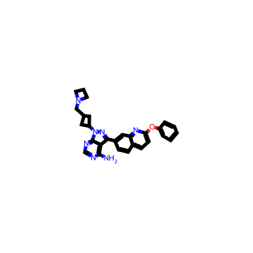 Nc1ncnc2c1c(-c1ccc3ccc(Oc4ccccc4)nc3c1)nn2C1CC(CN2CCC2)C1